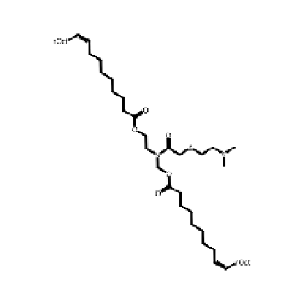 CCCCCCCC/C=C\CCCCCCCC(=O)OCCN(COC(=O)CCCCCCC/C=C\CCCCCCCC)C(=O)CSCCN(C)C